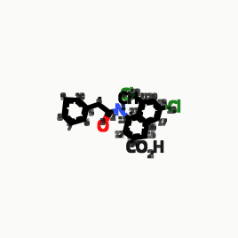 CN(C(=O)Cc1ccccc1)c1cc(C(=O)O)cc2cc(Cl)cc(Cl)c12